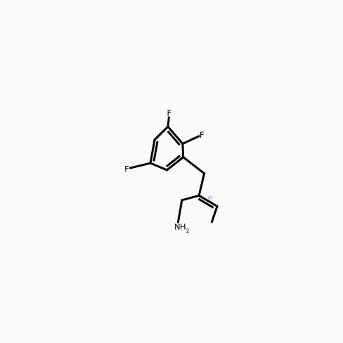 C/C=C(\CN)Cc1cc(F)cc(F)c1F